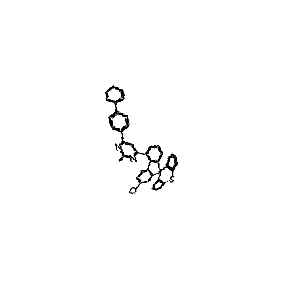 Cc1nc(-c2ccc(-c3ccccc3)cc2)cc(-c2cccc3c2-c2ccc(Cl)cc2C32c3ccccc3Sc3ccccc32)n1